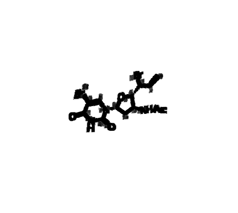 C=CC(Br)[C@H]1O[C@@H](n2cc(Br)c(=O)[nH]c2=O)C[C@@H]1NC(C)=O